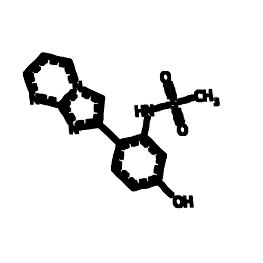 CS(=O)(=O)Nc1cc(O)ccc1-c1cn2cccnc2n1